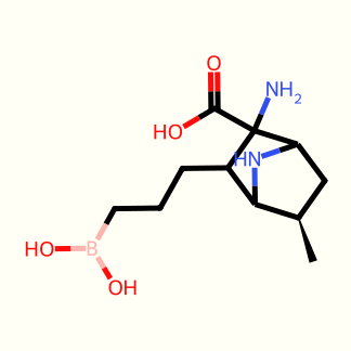 C[C@@H]1CC2NC1C(CCCB(O)O)C2(N)C(=O)O